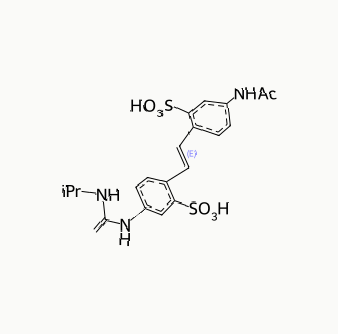 C=C(Nc1ccc(/C=C/c2ccc(NC(C)=O)cc2S(=O)(=O)O)c(S(=O)(=O)O)c1)NC(C)C